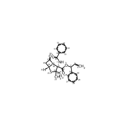 C=CC(OC(=O)[C@]1(NC(=O)c2ccccc2)N2C(=O)C[C@H]2SC1(C)C)c1ccccc1